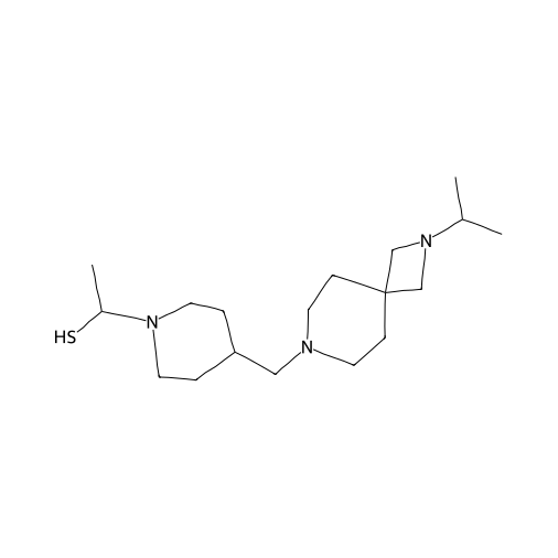 CC(C)N1CC2(CCN(CC3CCN(C(C)S)CC3)CC2)C1